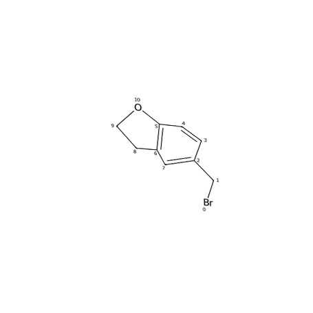 BrCc1ccc2c(c1)CCO2